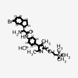 Cc1nn(COCC[Si](C)(C)C)c(C)c1-c1ccc(NC(=O)C(N)[C@@H]2CCc3ccc(Br)cc32)cc1.Cl